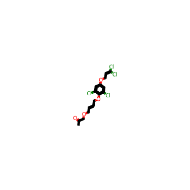 CC(=O)COC/C=C/COc1c(Cl)cc(OCC=C(Cl)Cl)cc1Cl